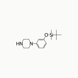 CC(C)(C)[Si](C)(C)Oc1cccc(N2CCNCC2)c1